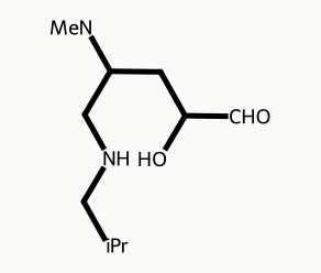 CNC(CNCC(C)C)CC(O)C=O